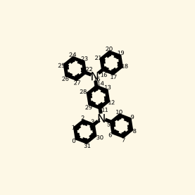 c1ccc(N(c2ccccc2)c2ccc(N(c3ccccc3)c3ccccc3)cc2)cc1